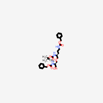 CC(C)(C)OC(=O)N[C@@H](CCCNC(=O)OCc1ccccc1)COC[C@@H](CO)NC(=O)OCc1ccccc1